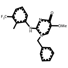 COc1cn(Cc2ccccc2)c(Nc2cccc(C(F)(F)F)c2C)nc1=O